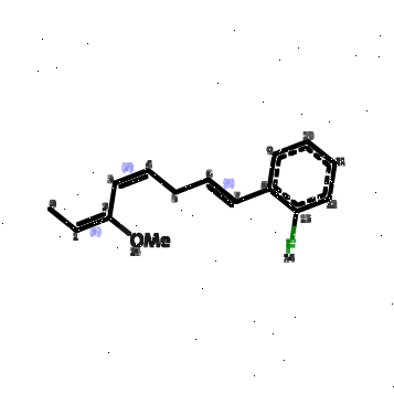 C/C=C(\C=C/C/C=C/c1ccccc1F)OC